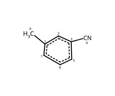 Cc1[c]c(C#N)ccc1